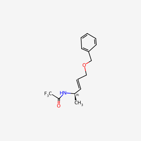 C[C@H](C=CCOCc1ccccc1)NC(=O)C(F)(F)F